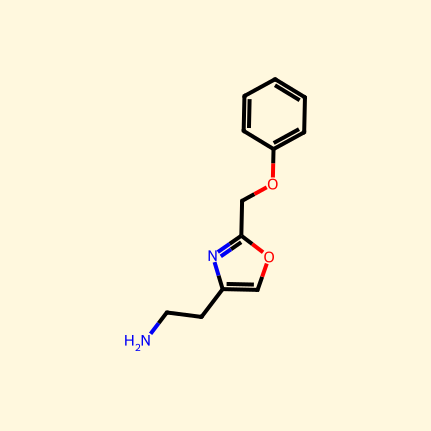 NCCc1coc(COc2ccccc2)n1